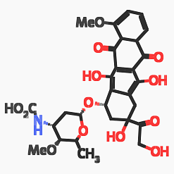 COC1=CC=CC2C(=O)c3c(O)c4c(c(O)c3C(=O)C12)[C@@H](O[C@H]1C[C@@H](NC(=O)O)[C@H](OC)C(C)O1)CC(O)(C(=O)CO)C4